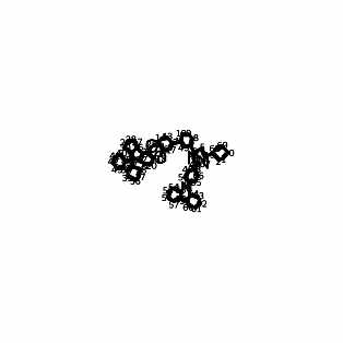 c1ccc(-c2cc(-c3cccc(-c4ccc5c(c4)Oc4ccc6c(c4O5)-c4ccccc4C6(c4ccccc4)c4ccccc4)c3)nc(-c3ccc(-n4c5ccccc5c5ccccc54)cc3)n2)cc1